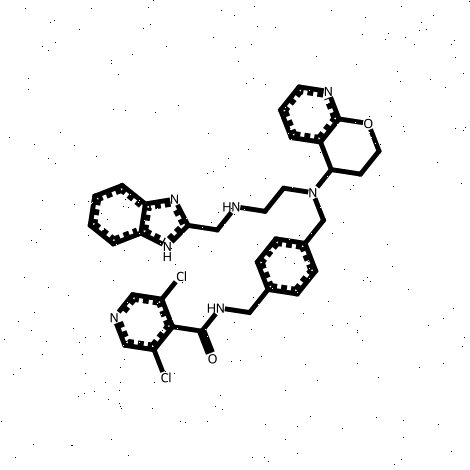 O=C(NCc1ccc(CN(CCNCc2nc3ccccc3[nH]2)C2CCOc3ncccc32)cc1)c1c(Cl)cncc1Cl